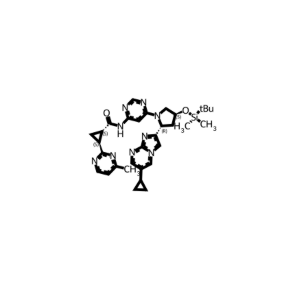 Cc1ccnc([C@H]2C[C@@H]2C(=O)Nc2cc(N3C[C@@H](O[Si](C)(C)C(C)(C)C)C[C@@H]3c3cn4cc(C5CC5)cnc4n3)ncn2)n1